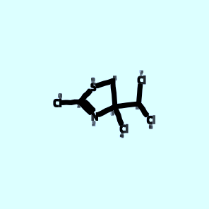 ClC1=NC(Cl)(C(Cl)Cl)CS1